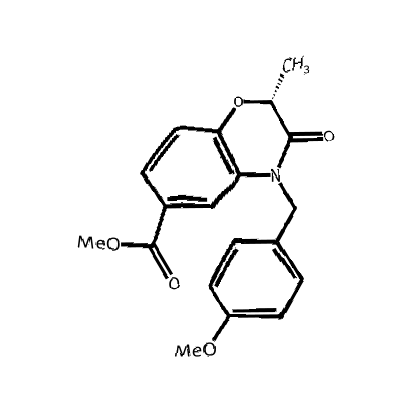 COC(=O)c1ccc2c(c1)N(Cc1ccc(OC)cc1)C(=O)[C@@H](C)O2